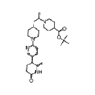 C=C1NC(=O)CCC1c1ccc(N2CCC(CC(=C)N3CCC(C(=O)OC(C)(C)C)CC3)CC2)nc1